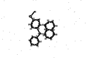 COc1ccc(P(c2ccccc2)c2cccc3ccccc23)cc1